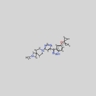 CN1CC2(CCN(c3cc(-c4n[nH]c5ccc(OC6(C)CC6)cc45)ncn3)CC2)C1